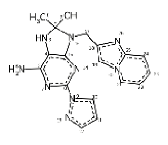 CC1(O)Nc2c(N)nc(-n3cccn3)nc2N1Cc1cn2ccccc2n1